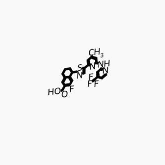 Cc1cc(Nc2cc(C(F)(F)F)ccn2)nc(-c2cnc(C3CCCc4cc(C(=O)O)c(F)cc43)s2)c1